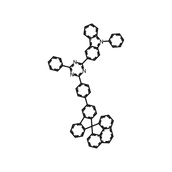 c1ccc(-c2nc(-c3ccc(-c4ccc5c(c4)-c4ccccc4C54c5cccc6ccc7cccc4c7c56)cc3)nc(-c3ccc4c(c3)c3ccccc3n4-c3ccccc3)n2)cc1